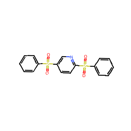 O=S(=O)(c1ccccc1)c1ccc(S(=O)(=O)c2ccccc2)nc1